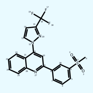 CS(=O)(=O)c1cccc(-c2cc(-n3ccc(C(F)(F)F)n3)c3ccccc3n2)c1